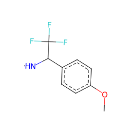 COc1ccc(C([NH])C(F)(F)F)cc1